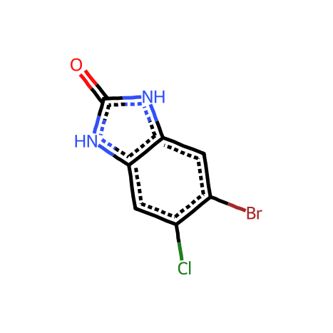 O=c1[nH]c2cc(Cl)c(Br)cc2[nH]1